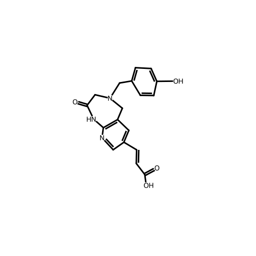 O=C(O)/C=C/c1cnc2c(c1)CN(Cc1ccc(O)cc1)CC(=O)N2